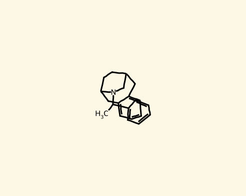 CC(c1ccccc1)N1CC2CCC1Cc1ccccc1C2